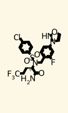 NC(=O)[C@@H](CCC(F)(F)F)N(Cc1ccc(N2C=CON2)cc1F)S(=O)(=O)c1ccc(Cl)cc1